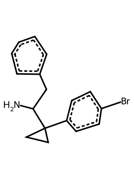 NC(Cc1ccccc1)C1(c2ccc(Br)cc2)CC1